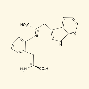 N[C@@H](Cc1ccccc1N[C@@H](Cc1c[nH]c2ncccc12)C(=O)O)C(=O)O